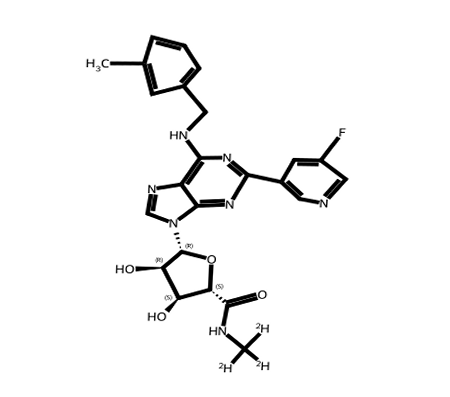 [2H]C([2H])([2H])NC(=O)[C@H]1O[C@@H](n2cnc3c(NCc4cccc(C)c4)nc(-c4cncc(F)c4)nc32)[C@H](O)[C@@H]1O